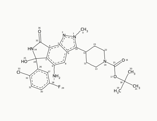 Cn1nc2c3c(c(N)cc2c1C1CCN(C(=O)OC(C)(C)C)CC1)C(O)(c1cc(F)ccc1Cl)NC3=O